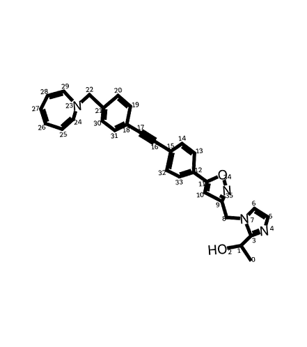 CC(O)c1nccn1Cc1cc(-c2ccc(C#Cc3ccc(CN4C=CC=CC=C4)cc3)cc2)on1